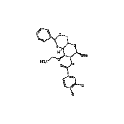 CS[C@@H]1OC2COC(c3ccccc3)O[C@@H]2[C@H](OCC(=O)O)C1NC(=O)c1ccc(Cl)c(Cl)c1